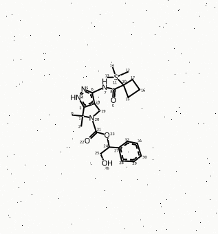 CC1(C)c2[nH]nc(NC(=O)C3(S(C)(C)C)CCC3)c2CN1C(=O)OC(CO)c1ccccc1